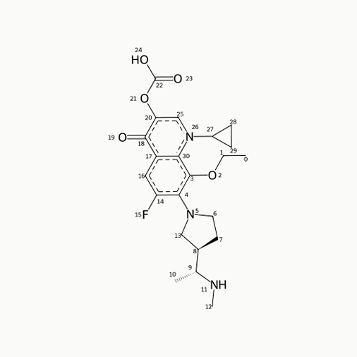 CCOc1c(N2CC[C@@H]([C@@H](C)NC)C2)c(F)cc2c(=O)c(OC(=O)O)cn(C3CC3)c12